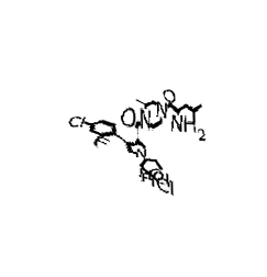 CC(C)C[C@H](N)C(=O)N1CCN(C(=O)[C@@H]2CN(C3CCOCC3)C[C@H]2c2ccc(Cl)cc2F)[C@@H](C)C1.Cl.Cl